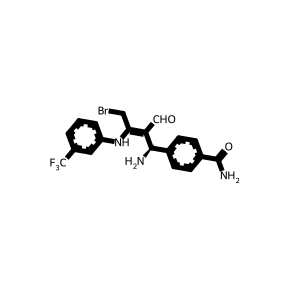 NC(=O)c1ccc([C@@H](N)/C(C=O)=C(/CBr)Nc2cccc(C(F)(F)F)c2)cc1